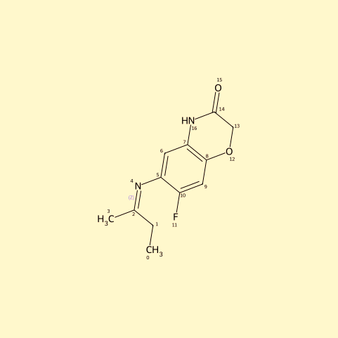 CC/C(C)=N\c1cc2c(cc1F)OCC(=O)N2